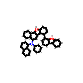 c1ccc(N(c2cccc3ccccc23)c2cc3c(oc4cccc(-c5cccc6c5oc5ccccc56)c43)c3ccccc23)cc1